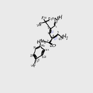 N=C/C(=C\C(=C\N)C(=O)Nc1ccc(F)cc1)C(F)(F)F